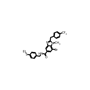 CCSc1ccc(CNC(=O)c2cc(Br)c3c(c2)nc(Cc2ccc(C(F)(F)F)cc2)n3C)cc1